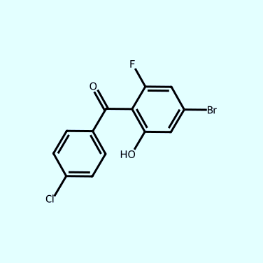 O=C(c1ccc(Cl)cc1)c1c(O)cc(Br)cc1F